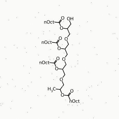 CCCCCCCCC(=O)OC(C)COCC(COCC(COCC(CO)OC(=O)CCCCCCCC)OC(=O)CCCCCCCC)OC(=O)CCCCCCCC